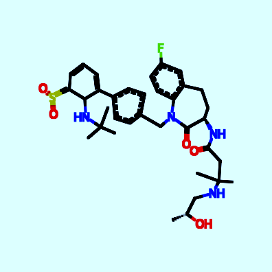 C[C@@H](O)CNC(C)(C)CC(=O)N[C@@H]1CCc2cc(F)ccc2N(Cc2ccc(C3=CC=CC(=S(=O)=O)C3NC(C)(C)C)cc2)C1=O